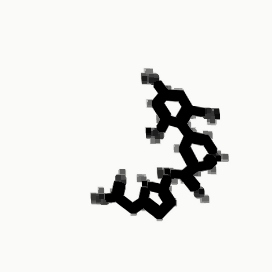 O=C(O)Cc1ccc(NC(=O)c2cncc(-c3c(O)cc(O)cc3O)c2)s1